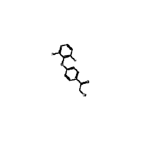 O=C(CBr)c1ccc(Oc2c(F)cccc2F)cc1